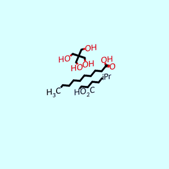 CC(C)CCCCC(=O)O.CCCCCCCCCC(=O)O.OCC(CO)(CO)CO